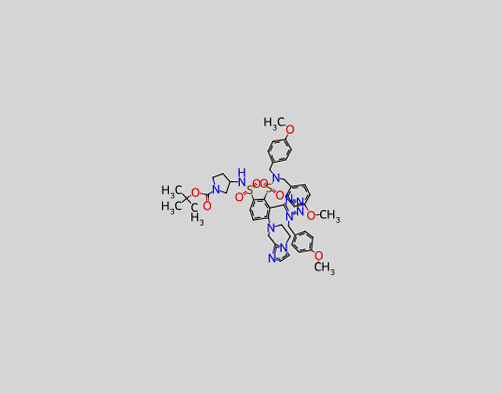 COc1ccc(CN(Cc2ccc(OC)cc2)S(=O)(=O)c2c(S(=O)(=O)NC3CCN(C(=O)OC(C)(C)C)C3)ccc(N3CCn4ccnc4C3)c2-c2nnnn2Cc2ccc(OC)cc2)cc1